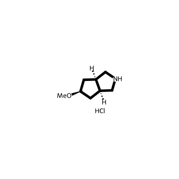 CO[C@H]1C[C@H]2CNC[C@H]2C1.Cl